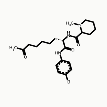 CC(=O)CCCCC[C@H](NC(=O)C1CCCCN1C)C(=O)Nc1ccc(Cl)cc1